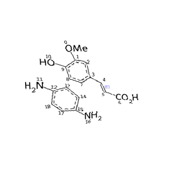 COc1cc(/C=C/C(=O)O)ccc1O.Nc1ccc(N)cc1